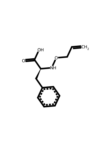 C=CCON[C@@H](Cc1ccccc1)C(=O)O